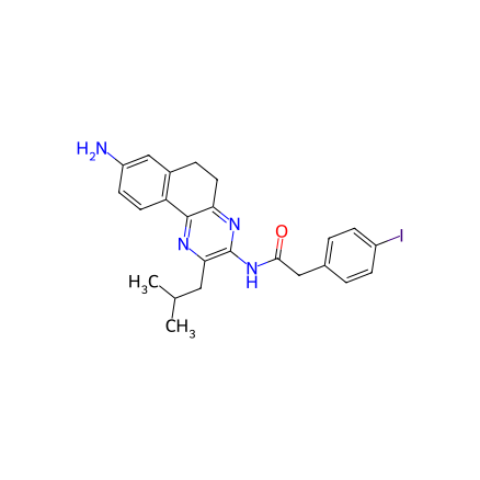 CC(C)Cc1nc2c(nc1NC(=O)Cc1ccc(I)cc1)CCc1cc(N)ccc1-2